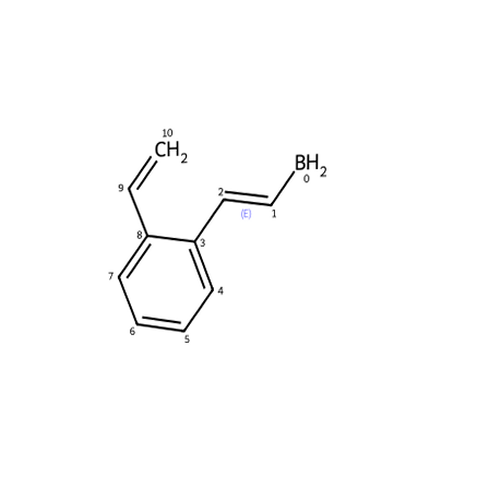 B/C=C/c1ccccc1C=C